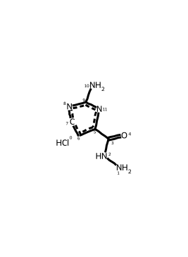 Cl.NNC(=O)c1ccnc(N)n1